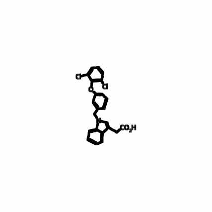 O=C(O)Cc1cn(Cc2cccc(Oc3c(Cl)cccc3Cl)c2)c2ccccc12